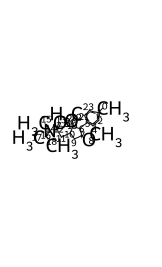 Cc1cc(C)c(C2C(=O)CC(CC(=O)N(C)C(C)C)C2=O)c(C)c1